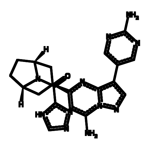 Nc1ncc(-c2cnn3c(N)cc([C@H]4C[C@H]5CC[C@@H](C4)N5C(=O)c4nnc[nH]4)nc23)cn1